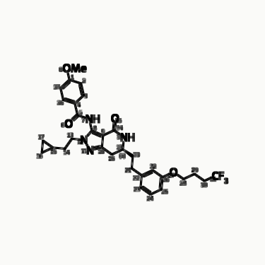 COc1ccc(C(=O)Nc2c3c(nn2CCC2CC2)C[C@H](CCc2cccc(OCCCC(F)(F)F)c2)NC3=O)cc1